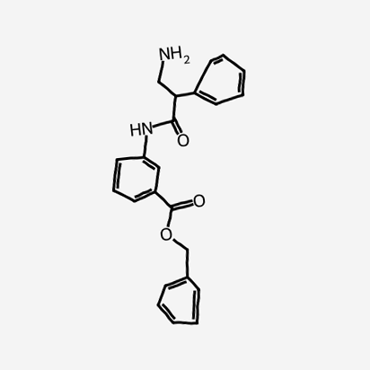 NCC(C(=O)Nc1cccc(C(=O)OCc2ccccc2)c1)c1ccccc1